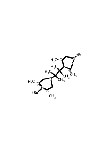 C[C@@H]1CN(C(C)(C)C(C)(C)N2[C@H](C)CN(C(C)(C)C)C[C@H]2C)C[C@H](C)N1C(C)(C)C